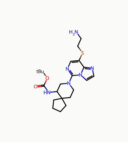 CC(C)(C)OC(=O)NC1CN(c2ncc(SCCN)c3nccn23)CCC12CCCC2